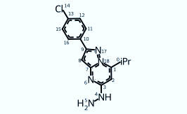 CC(C)c1cc(NN)nc2cc(-c3ccc(Cl)cc3)nn12